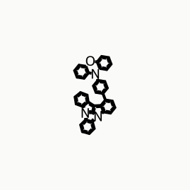 c1ccc2c(c1)Oc1ccccc1N2c1ccc(-c2cccc3c2c2c4ccccc4n4c5ccccc5n3c24)cc1